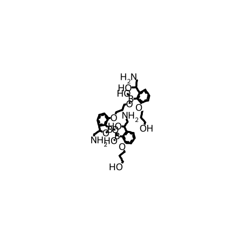 NCC(O)c1cccc(OCCCO)c1B(O)OCCCOc1cccc2c1B(OB(O)c1c(OCCCO)cccc1C(O)CN)OC2CN